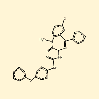 CN1C(=O)C(NC(=S)Nc2ccc(Oc3ccccc3)cc2)N=C(c2ccccc2)c2cc(Cl)ccc21